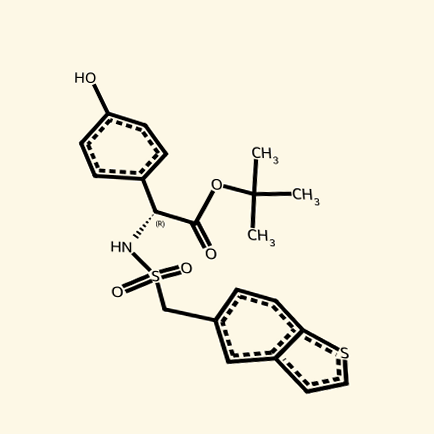 CC(C)(C)OC(=O)[C@H](NS(=O)(=O)Cc1ccc2sccc2c1)c1ccc(O)cc1